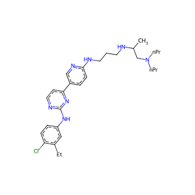 CCCN(CCC)CC(C)NCCCNc1ccc(-c2ccnc(Nc3ccc(Cl)c(CC)c3)n2)cn1